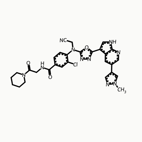 Cn1cc(-c2cnc3[nH]cc(-c4nnc(N(CC#N)c5ccc(C(=O)NCC(=O)N6CCCCC6)cc5Cl)o4)c3c2)cn1